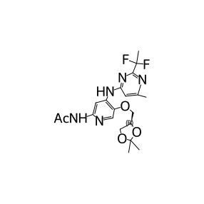 CC(=O)Nc1cc(Nc2cc(C)nc(C(C)(F)F)n2)c(OC[C@@H]2COC(C)(C)O2)cn1